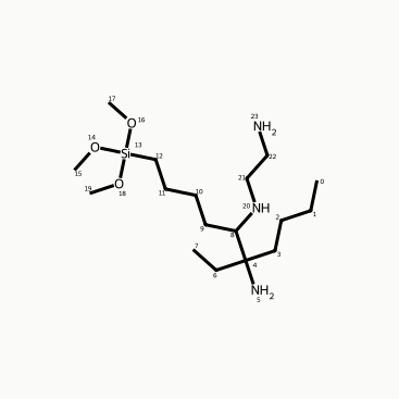 CCCCC(N)(CC)C(CCCC[Si](OC)(OC)OC)NCCN